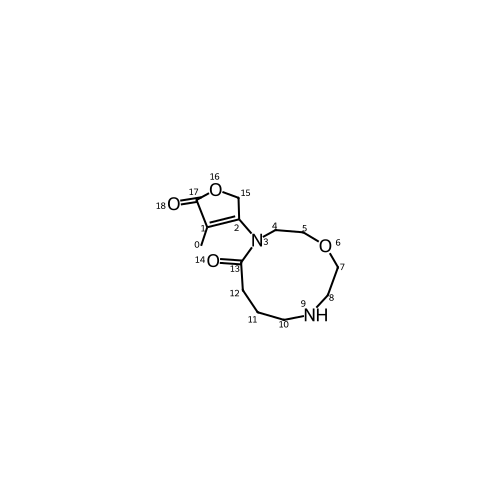 CC1=C(N2CCOCCNCCCC2=O)COC1=O